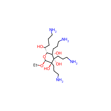 CCO[C@H]1O[C@H](C(O)CCCN)[C@@](O)(CCCN)[C@@](O)(CCCN)[C@]1(O)CCCN